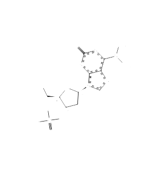 CN(C)c1[nH]c(=O)nc2c1ncn2[C@H]1C[C@H](OP(=O)(O)O)[C@@H](CO)O1